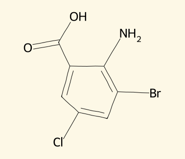 Nc1c(Br)cc(Cl)cc1C(=O)O